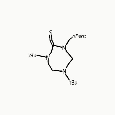 CCCCCN1CN(C(C)(C)C)CN(C(C)(C)C)C1=S